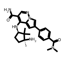 CN(C)C(=O)c1ccc(-c2cc3c(N[C@@H]4CC[C@](C)(N)C4(C)C)c(C(N)=O)cnn3c2)cc1